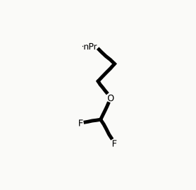 CC[CH]CCOC(F)F